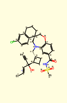 C#CC(O)(/C=C/CC)[C@@H]1CC[C@H]1CN1C[C@@]2(CCCc3cc(Cl)ccc32)COc2ccc(C(=O)NS(=O)(=O)C(C)C)cc21